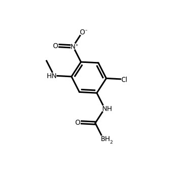 BC(=O)Nc1cc(NC)c([N+](=O)[O-])cc1Cl